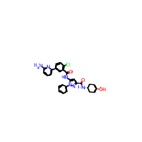 Nc1cccc(-c2ccc(Cl)c(C(=O)Nc3cc(C(=O)N[C@H]4CC[C@H](O)CC4)nn3-c3ccccc3)c2)n1